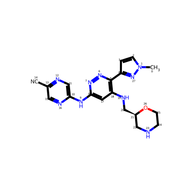 Cn1ccc(-c2nnc(Nc3cnc(C#N)cn3)cc2NC[C@@H]2CNCCO2)n1